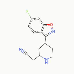 N#CCC1CC(c2noc3cc(F)ccc23)CCN1